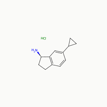 Cl.N[C@@H]1CCc2ccc(C3CC3)cc21